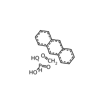 C=O.O=[PH](O)O.c1ccc2cc3ccccc3cc2c1